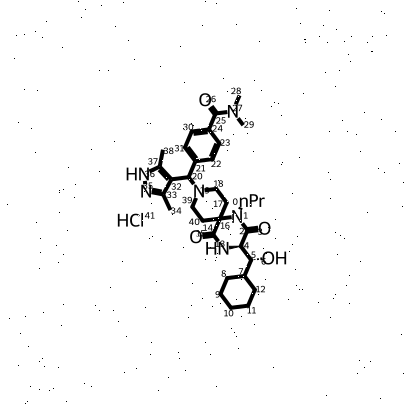 CCCN1C(=O)[C@@H]([C@H](O)C2CCCCC2)NC(=O)C12CCN(C(c1ccc(C(=O)N(C)C)cc1)c1c(C)n[nH]c1C)CC2.Cl